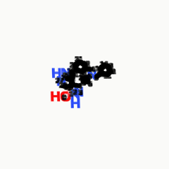 OB1NN=C([C@H]2C[C@@H](N(Cc3ccccc3)Cc3ccccc3)C2)c2c1cnc1[nH]ccc21